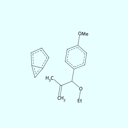 C=C(C)C(OCC)c1ccc(OC)cc1.c1cc2cc-2c1